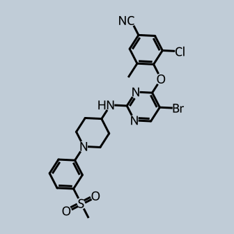 Cc1cc(C#N)cc(Cl)c1Oc1nc(NC2CCN(c3cccc(S(C)(=O)=O)c3)CC2)ncc1Br